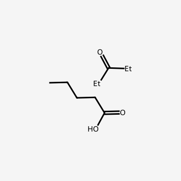 CCC(=O)CC.CCCCC(=O)O